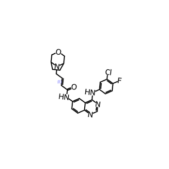 O=C(/C=C/CN1C2CCC1COC2)Nc1ccc2ncnc(Nc3ccc(F)c(Cl)c3)c2c1